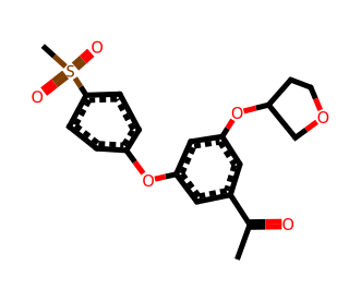 CC(=O)c1cc(Oc2ccc(S(C)(=O)=O)cc2)cc(OC2CCOC2)c1